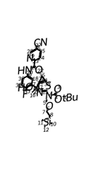 CC(C)(C)OC(=O)N(COCC[Si](C)(C)C)C1=N[C@](C)(c2cc(NC(=O)c3ccc(C#N)cn3)ccc2F)C2C[C@]2(C(=O)O)S1